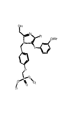 CCOP(=O)(COc1ccc(Cn2c(CO)nc(C(C)C)c2Sc2cccc(OC)c2)cc1)OCC